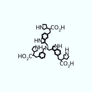 O=C(O)C(Cc1cccc(CN(Cc2c[nH]c3ccc(CC(C(=O)O)C4CCNC4)cc23)Cc2c[nH]c3ccc(CC(C(=O)O)C4CCNC4)cc23)c1)C1CCNC1